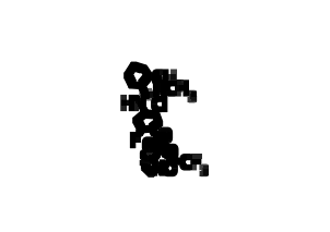 CN(C)C[C@@H](Nc1cc(F)c(S(=O)(=O)N(OC(=O)C(F)(F)F)c2nccs2)cc1Cl)c1ccccc1